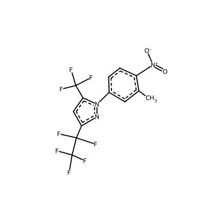 Cc1cc(-n2nc(C(F)(F)C(F)(F)F)cc2C(F)(F)F)ccc1[N+](=O)[O-]